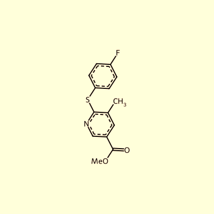 COC(=O)c1cnc(Sc2ccc(F)cc2)c(C)c1